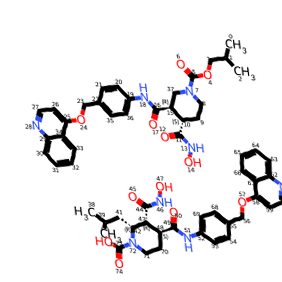 CC(C)COC(=O)N1CC[C@H](C(=O)NO)[C@@H](C(=O)Nc2ccc(COc3ccnc4ccccc34)cc2)C1.CC(C)C[C@@H]1[C@H](C(=O)NO)[C@@H](C(=O)Nc2ccc(COc3ccnc4ccccc34)cc2)CCN1C(=O)O